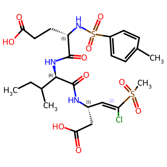 CCC(C)[C@@H](NC(=O)[C@H](CCC(=O)O)NS(=O)(=O)c1ccc(C)cc1)C(=O)N[C@H](/C=C(\Cl)S(C)(=O)=O)CC(=O)O